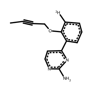 [2H]c1cccc(-c2ccnc(N)n2)c1OCC#CC